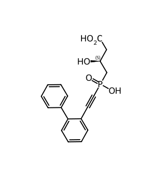 O=C(O)C[C@H](O)CP(=O)(O)C#Cc1ccccc1-c1ccccc1